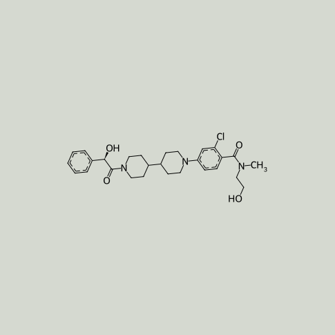 CN(CCO)C(=O)c1ccc(N2CCC(C3CCN(C(=O)[C@H](O)c4ccccc4)CC3)CC2)cc1Cl